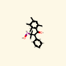 Cc1cc(C)c(C(=O)C(c2ccccc2)C(C)(C)P=O)c(C)c1C